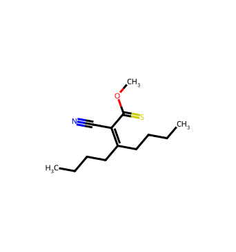 CCCCC(CCCC)=C(C#N)C(=S)OC